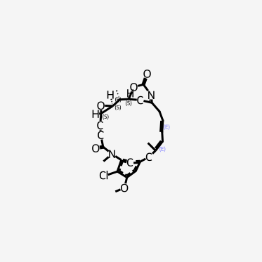 COc1cc2cc(c1Cl)N(C)C(=O)CC[C@@H]1O[C@H]1[C@H](C)[C@@H]1CC(=NC(=O)O1)C/C=C/C=C(\C)C2